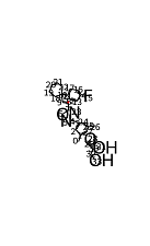 Cc1cc(-c2noc(/C=C/C3(c4ccc(F)cc4)CCCCC3)n2)cc(C)c1OC[C@@H](O)CO